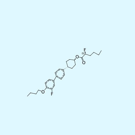 CCCCOc1ccc(-c2ccc([C@H]3CC[C@H](OC(=O)[C@@H](F)CCCC)CC3)cc2)cc1F